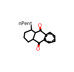 CCCCCC1CCCC2C(=O)c3ccccc3C(=O)C12